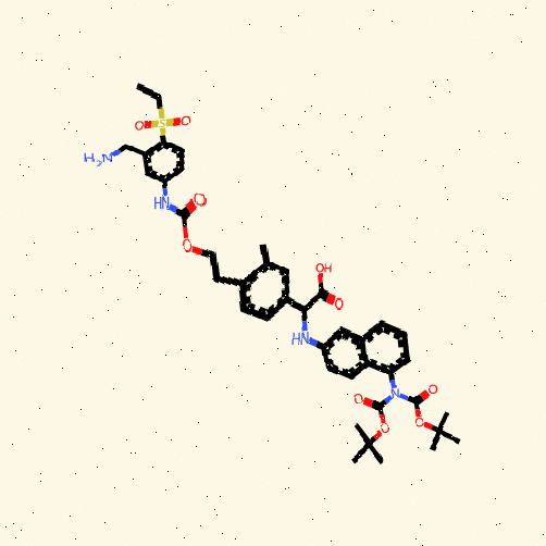 CCS(=O)(=O)c1ccc(NC(=O)OCCc2ccc(C(Nc3ccc4c(N(C(=O)OC(C)(C)C)C(=O)OC(C)(C)C)cccc4c3)C(=O)O)cc2C)cc1CN